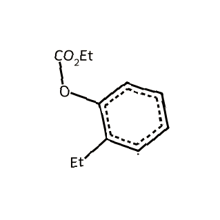 CCOC(=O)Oc1ccc[c]c1CC